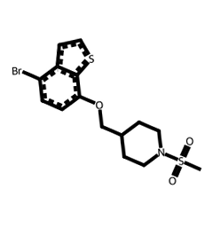 CS(=O)(=O)N1CCC(COc2ccc(Br)c3ccsc23)CC1